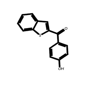 O=C(c1ccc(O)cc1)c1cc2ccccc2s1